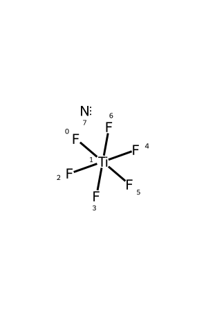 [F][Ti]([F])([F])([F])([F])[F].[N]